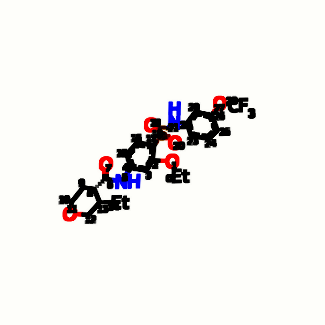 CCOc1cc(NC(=O)[C@H]2CCOC[C@@H]2CC)ccc1S(=O)(=O)Nc1cccc(OC(F)(F)F)c1